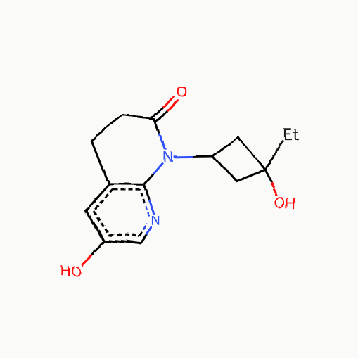 CCC1(O)CC(N2C(=O)CCc3cc(O)cnc32)C1